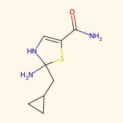 NC(=O)C1=CNC(N)(CC2CC2)S1